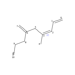 C=C/C=C(/C)CC(=C)CCF